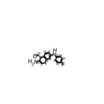 NC1=CCc2cc(Nc3ccc(F)cc3)ccc2[C@@H]1C=O